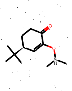 C[SiH](C)OC1=C[C@@H](C(C)(C)C)CCC1=O